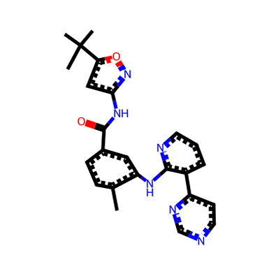 Cc1ccc(C(=O)Nc2cc(C(C)(C)C)on2)cc1Nc1ncccc1-c1ccncn1